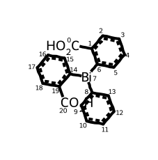 O=C(O)c1cccc[c]1[Bi]([c]1ccccc1)[c]1ccccc1C(=O)O